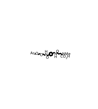 CN[C@@H](CCC(=O)NCc1ccc(C(=O)NCCOCCOCC(C)=O)cc1)C(=O)O